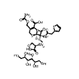 CO[C@@]1(NC(=O)Cc2cccs2)C(=O)N2C(C(=O)O)=C(COC(N)=O)CS[C@@H]21.N[C@@H]1CONC1=O.OC[C@@H](O)[C@@H](O)[C@H](O)[C@H](O)CO